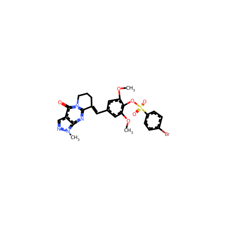 COc1cc(/C=C2\CCCn3c2nc2c(cnn2C)c3=O)cc(OC)c1OS(=O)(=O)c1ccc(Br)cc1